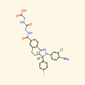 N#Cc1ccc(N2N=C3c4ccc(C(=O)NCC(=O)NCC(=O)O)cc4CC[C@@H]3[C@@H]2c2ccc(F)cc2)cc1Cl